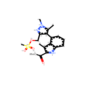 COC(=O)c1[nH]c2cccc(-c3c(COS(C)(=O)=O)nn(C)c3C)c2c1C